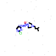 CC(C)CCN1CCN(/[N+]([O-])=N/Nc2ccnc(Cl)n2)CC1